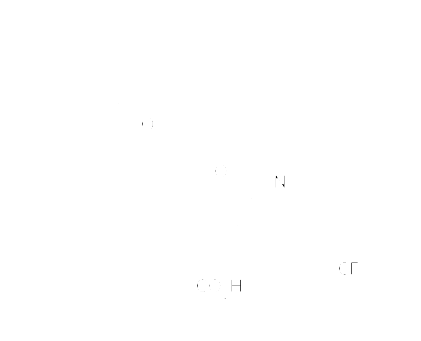 O=C(O)CCC(COc1ccccc1)Oc1ccc(C(F)(F)F)cn1